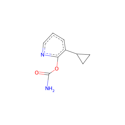 NC(=O)Oc1ncccc1C1CC1